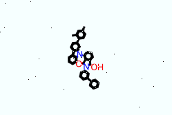 Cc1ccc(-c2ccc3c4ccccc4n(-c4cccc5c4C(=O)N(c4cccc(-c6ccccc6)c4)C5O)c3c2)c(C)c1